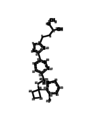 COC(O)CCc1cnc(-c2ccc(NCC3(c4ncccc4F)CCC3)nn2)s1